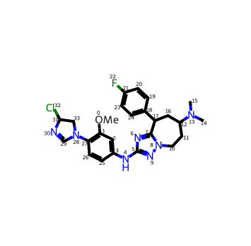 COc1cc(Nc2nc3n(n2)CCC(N(C)C)CC3c2ccc(F)cc2)ccc1N1C=NC(Cl)C1